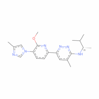 COc1nc(-c2cc(C)c(N[C@@H](C)C(C)C)nn2)ccc1-n1cnc(C)c1